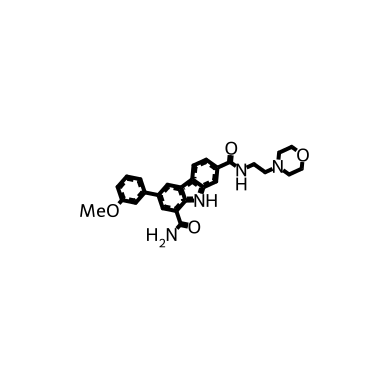 COc1cccc(-c2cc(C(N)=O)c3[nH]c4cc(C(=O)NCCN5CCOCC5)ccc4c3c2)c1